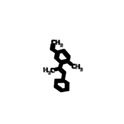 C=Cc1ccc(C)c(C(C)=Cc2ccccc2)c1